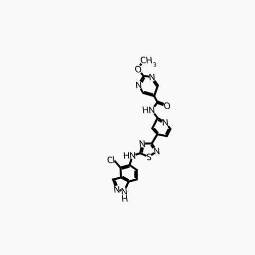 COc1ncc(C(=O)Nc2cc(-c3nsc(Nc4ccc5[nH]ncc5c4Cl)n3)ccn2)cn1